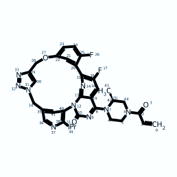 C=CC(=O)N1CCN(c2nc(=O)n3c4nc(c(F)cc24)-c2cc(ccc2F)OCc2cn(nn2)Cc2cnc(C(C)C)c-3c2)[C@@H](C)C1